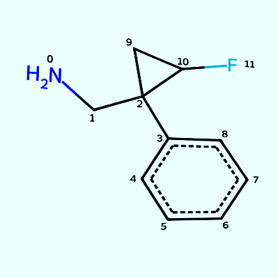 NCC1(c2ccccc2)CC1F